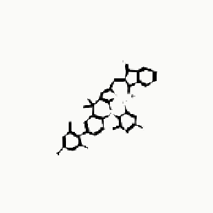 Cc1cc(C)c(-c2ccc3c(c2)C(C)(C)c2cc(/C=C4/C(=O)c5ccccc5C4O)sc2N3c2c(Cl)cc(Cl)cc2Cl)c(C)c1